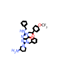 NC1CCCN(c2nc3nc(NCc4ccccc4)n(CC(=O)c4ccc(OC(F)(F)F)cc4)c(=O)c3n2Cc2ccccc2)C1